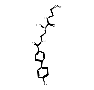 CCc1ccc(-c2ccc(C(=O)NCCN(O)C(=O)NCCOC)cc2)cc1